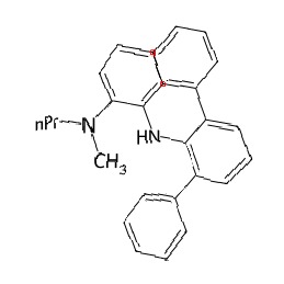 CCCN(C)c1ccccc1Nc1c(-c2ccccc2)cccc1-c1ccccc1